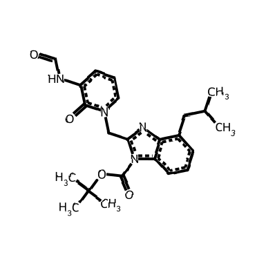 CC(C)Cc1cccc2c1nc(Cn1cccc(NC=O)c1=O)n2C(=O)OC(C)(C)C